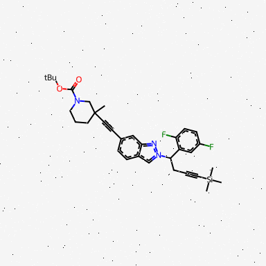 CC1(C#Cc2ccc3cn(C(CC#C[Si](C)(C)C)c4cc(F)ccc4F)nc3c2)CCCN(C(=O)OC(C)(C)C)C1